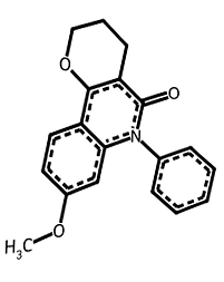 COc1ccc2c3c(c(=O)n(-c4ccccc4)c2c1)CCCO3